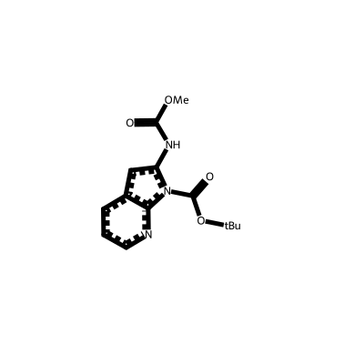 COC(=O)Nc1cc2cccnc2n1C(=O)OC(C)(C)C